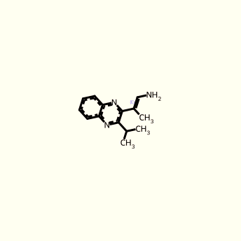 C/C(=C\N)c1nc2ccccc2nc1C(C)C